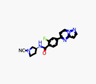 N#CN1CC[C@@H](NC(=O)c2ccc(-c3ccn4nccc4n3)cc2F)C1